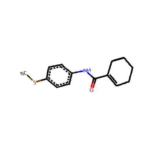 N#CSc1ccc(NC(=O)C2=CCCCC2)cc1